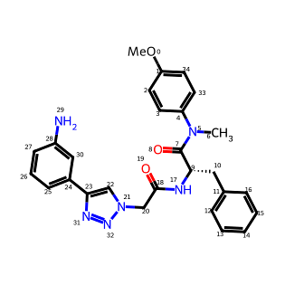 COc1ccc(N(C)C(=O)[C@H](Cc2ccccc2)NC(=O)Cn2cc(-c3cccc(N)c3)nn2)cc1